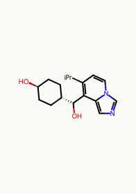 CC(C)c1ccn2cncc2c1C(O)[C@H]1CC[C@H](O)CC1